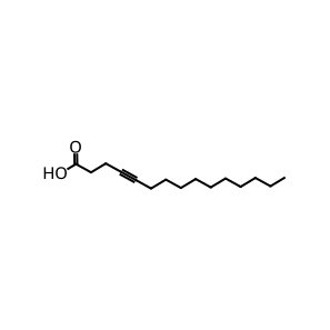 CCCCCCCCCCC#CCCC(=O)O